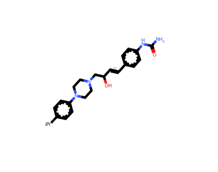 CC(C)c1ccc(N2CCN(CC(O)/C=C/c3ccc(NC(N)=O)cc3)CC2)cc1